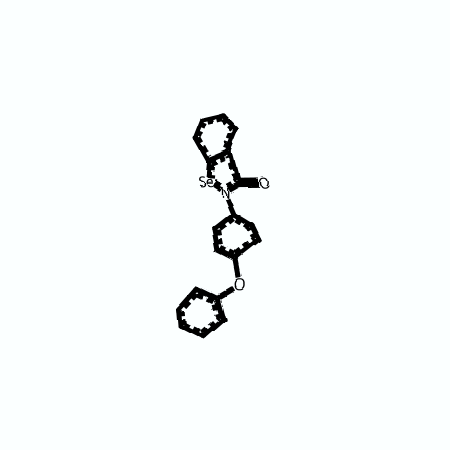 O=c1c2ccccc2[se]n1-c1ccc(Oc2ccccc2)cc1